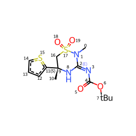 CN1/C(=N/C(=O)OC(C)(C)C)N[C@](C)(c2cccs2)CS1(=O)=O